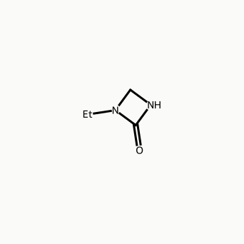 CCN1CNC1=O